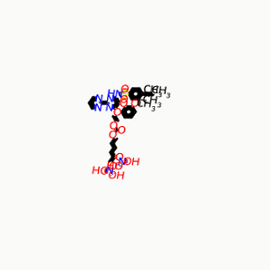 CCC(C)(C)c1ccc(S(=O)(=O)Nc2nc(-c3ncccn3)nc(OCCOC(=O)OCCCCC(CON(O)O)ON(O)O)c2Oc2ccccc2OC)cc1